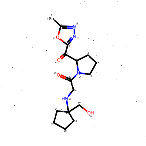 CC(C)(C)c1nnc(C(=O)C2CCCN2C(=O)CNC2(CO)CCCC2)o1